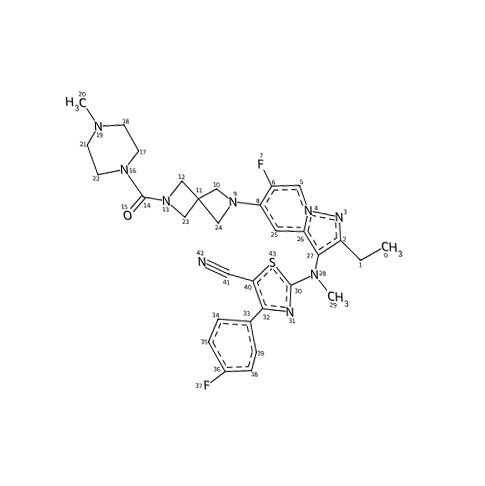 CCc1nn2cc(F)c(N3CC4(CN(C(=O)N5CCN(C)CC5)C4)C3)cc2c1N(C)c1nc(-c2ccc(F)cc2)c(C#N)s1